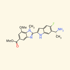 COC(=O)c1cc(OC)c2c(c1)nc(-c1cc3cc(F)c([C@@H](C)N)cc3[nH]1)n2C